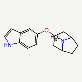 CN1C2CCC1CC(Oc1ccc3[nH]ccc3c1)C2